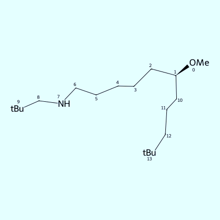 CO[C@H](CCCCCNCC(C)(C)C)CCCC(C)(C)C